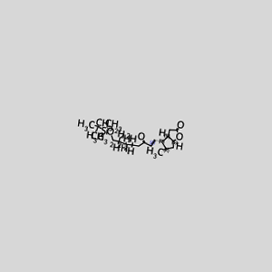 [2H]C([2H])(CO[Si](C)(C)C(C)(C)C)C([2H])([2H])C([2H])([2H])CC(=O)/C=C/[C@@H]1[C@H]2CC(=O)O[C@H]2C[C@H]1C